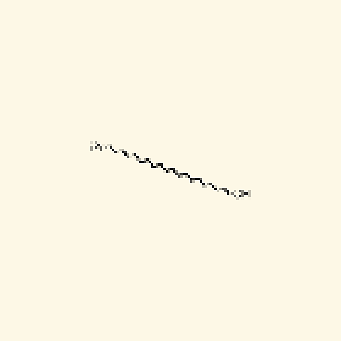 CC(C)CCCCCCCCCCCCCCCCCCCCO